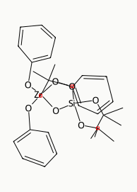 CC(C)(C)O[Si](OC(C)(C)C)(OC(C)(C)C)[O][Zr]([O]c1ccccc1)([O]c1ccccc1)[O]c1ccccc1